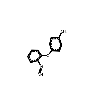 Cc1ccc(Oc2ccccc2N=N)cc1